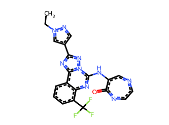 CCn1cc(-c2nc3c4cccc(C(F)(F)F)c4nc(Nc4cnccnc4=O)n3n2)cn1